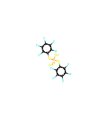 Fc1c(F)c(F)c(S[PH](S)(S)Sc2c(F)c(F)c(F)c(F)c2F)c(F)c1F